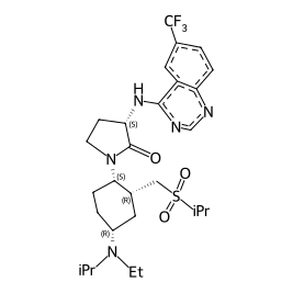 CCN(C(C)C)[C@@H]1CC[C@H](N2CC[C@H](Nc3ncnc4ccc(C(F)(F)F)cc34)C2=O)[C@H](CS(=O)(=O)C(C)C)C1